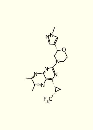 Cc1nc2nc(N3CCO[C@@H](c4cnn(C)c4)C3)nc([C@@H]3C[C@@H]3C(F)(F)F)c2nc1C